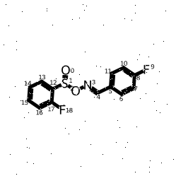 O=S(O/N=C/c1ccc(F)cc1)c1ccccc1F